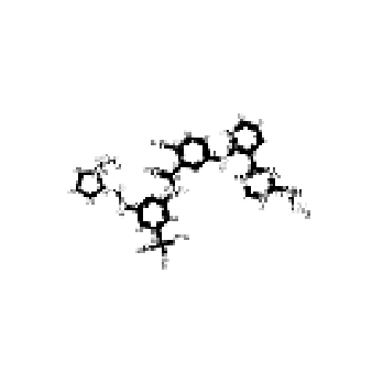 CNc1ncnc(-c2cccnc2Oc2ccc(F)c(C(=O)Nc3cc(OC[C@@H]4CCCN4C)cc(C(F)(F)F)c3)c2)n1